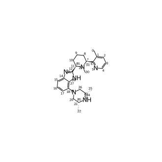 Cc1cccnc1[C@@H]1CCC[C@H](c2nc3cccc(N4C[C@@H](C)N[C@@H](C)C4)c3[nH]2)N1C